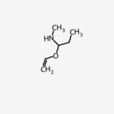 C=COC(CC)NC